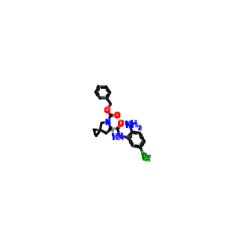 Nc1ccc(Br)cc1NC(=O)[C@@H]1CC2(CC2)CN1C(=O)OCc1ccccc1